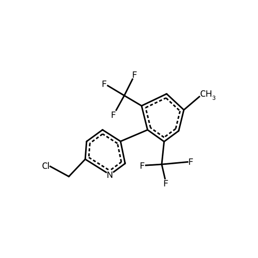 Cc1cc(C(F)(F)F)c(-c2ccc(CCl)nc2)c(C(F)(F)F)c1